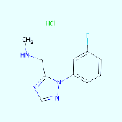 CNCc1ncnn1-c1cccc(F)c1.Cl